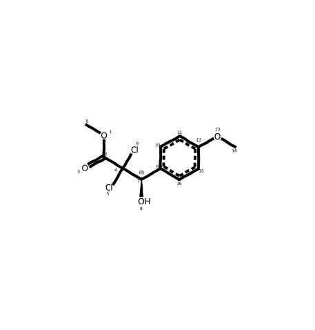 COC(=O)C(Cl)(Cl)[C@H](O)c1ccc(OC)cc1